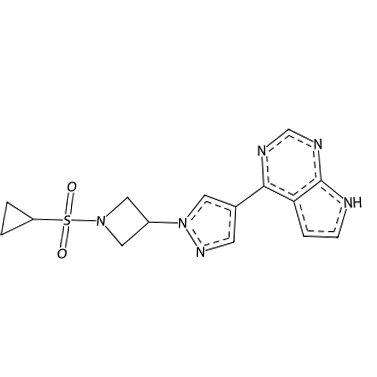 O=S(=O)(C1CC1)N1CC(n2cc(-c3ncnc4[nH]ccc34)cn2)C1